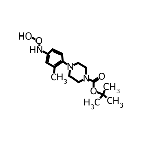 Cc1cc(NOO)ccc1N1CCN(C(=O)OC(C)(C)C)CC1